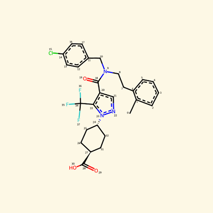 Cc1ccccc1CCN(Cc1ccc(Cl)cc1)C(=O)c1cnn([C@H]2CC[C@H](C(=O)O)CC2)c1C(F)(F)F